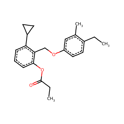 CCC(=O)Oc1cccc(C2CC2)c1COc1ccc(CC)c(C)c1